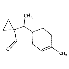 CC1=CCC(C(C)C2(C=O)CC2)CC1